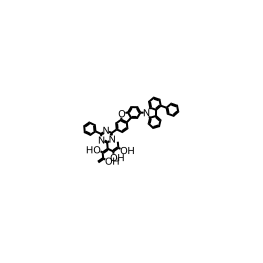 C=C(O)/C(O)=C(\C(O)=C(/C)O)c1nc(-c2ccccc2)nc(-c2ccc3c(c2)oc2ccc(-n4c5ccccc5c5c(-c6ccccc6)cccc54)cc23)n1